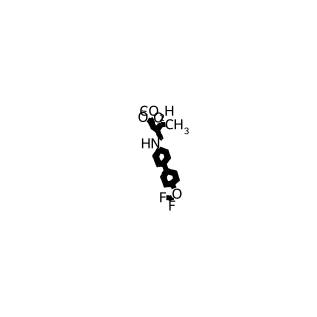 Cc1oc(OC(=O)O)cc1CNc1ccc(-c2ccc(OC(F)F)cc2)cc1